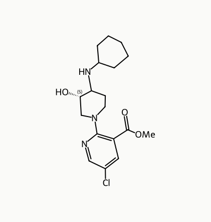 COC(=O)c1cc(Cl)cnc1N1CCC(NC2CCCCC2)[C@@H](O)C1